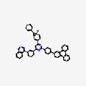 C1=CC(C2=C3C=C(c4cc(C5=CC(c6cncc7ccccc67)=CCC5)nc(-c5ccc(-c6ccc7c8ccccc8c8ccccc8c7c6)cc5)n4)C=C[C@H]32)=CCC1